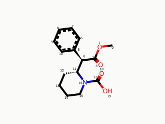 COC(=O)[C@H](c1ccccc1)[C@H]1CCCCN1C(=O)O